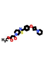 COC(=O)CC(=O)N1CCc2nc(-c3ccc(OC4CC(N5CCCCC5)C4)cc3)sc2C1